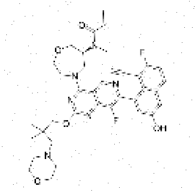 C#Cc1c(F)ccc2cc(O)cc(-c3ncc4c(N5CCOC[C@@H](N(C)C(=O)C=C)C5)nc(OCC5(CN6CCOCC6)CC5)nc4c3F)c12